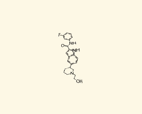 O=C(Nc1cccc(F)c1)c1cc2cc(C3CCCN(CCO)C3)ccc2[nH]1